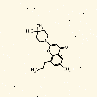 Cc1cc(CCN)c2oc(N3CCC(C)(C)CC3)cc(=O)c2c1